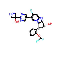 O[C@@H]1C[C@H](c2ccccc2OC(F)F)c2c1nc1cc(F)c(-c3cnc(C4(O)CNC4)nc3)cn21